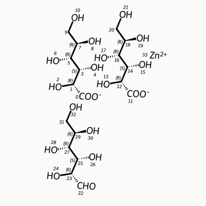 O=C([O-])[C@H](O)[C@@H](O)[C@H](O)[C@H](O)CO.O=C([O-])[C@H](O)[C@@H](O)[C@H](O)[C@H](O)CO.O=C[C@H](O)[C@@H](O)[C@H](O)[C@H](O)CO.[Zn+2]